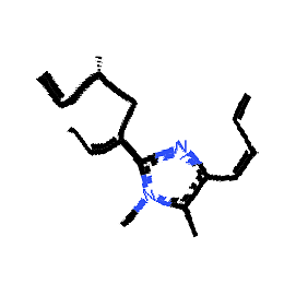 C=C/C=C\c1nc(/C(=C/C)C[C@@H](C)C=C)n(C)c1C